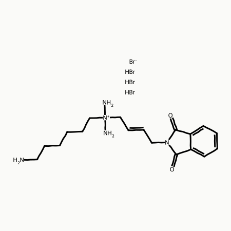 Br.Br.Br.NCCCCCC[N+](N)(N)CC=CCN1C(=O)c2ccccc2C1=O.[Br-]